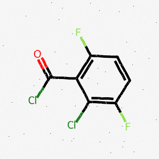 O=C(Cl)c1c(F)ccc(F)c1Cl